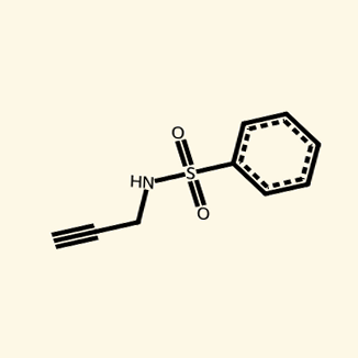 C#CCNS(=O)(=O)c1ccccc1